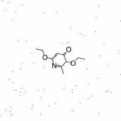 CCOC1=CC(=O)C(OCC)C(C)=N1